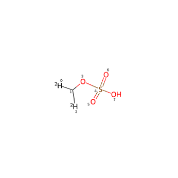 [2H]C([2H])OS(=O)(=O)O